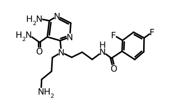 NCCCN(CCCNC(=O)c1ccc(F)cc1F)c1ncnc(N)c1C(N)=O